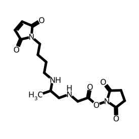 CC(CNCC(=O)ON1C(=O)CCC1=O)NCCCCN1C(=O)C=CC1=O